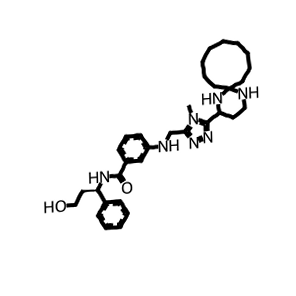 Cn1c(CNc2cccc(C(=O)N[C@H](CCO)c3ccccc3)c2)nnc1C1CCNC2(CCCCCCCCC2)N1